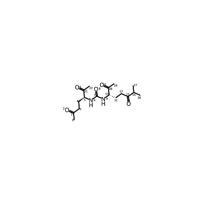 CC(=O)CC[C@H](NC(=O)N[C@@H](CCC(=O)C(C)C)C(C)=O)C(C)=O